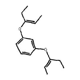 CC=C(CC)Oc1cccc(OC(=CC)CC)c1